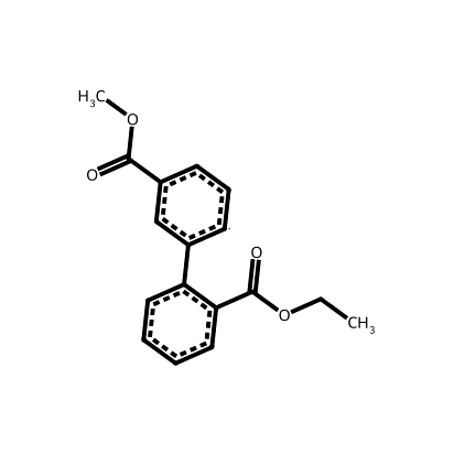 CCOC(=O)c1ccccc1-c1[c]ccc(C(=O)OC)c1